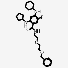 O=C(NCCOCCOCc1ccccc1)c1cc(F)c(NC2CCCCC2)cc1NC1CCCC1